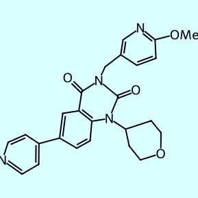 COc1ccc(Cn2c(=O)c3cc(-c4ccncc4)ccc3n(C3CCOCC3)c2=O)cn1